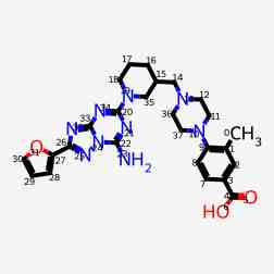 Cc1cc(C(=O)O)ccc1N1CCN(CC2CCCN(c3nc(N)n4nc(-c5ccco5)nc4n3)C2)CC1